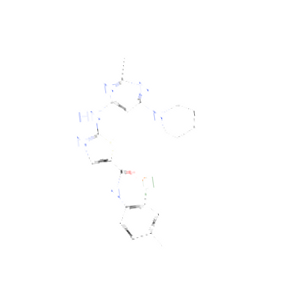 Cc1ccc(NC(=O)c2cnc(Nc3cc(N4CCCCC4)nc(C)n3)s2)c(Cl)c1